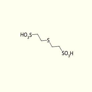 O=S(=O)(O)CCSCCS(=O)(=O)O